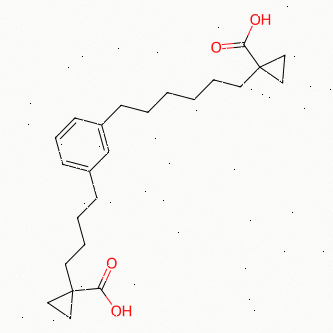 O=C(O)C1(CCCCCCc2cccc(CCCCC3(C(=O)O)CC3)c2)CC1